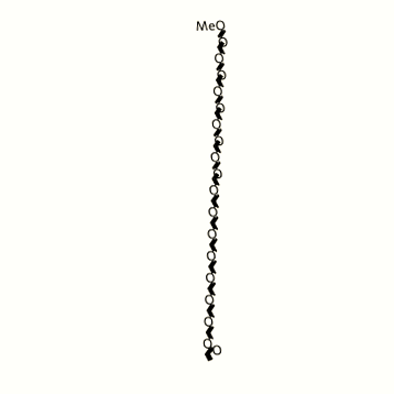 C=CC(=O)OCCCOCCCOCCCOCCCOCCCOCCCOCCCOCCOCCOCCOCCOCCOCCOCCOCCOCCOCCOC